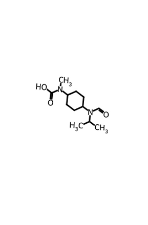 CC(C)N(C=O)C1CCC(N(C)C(=O)O)CC1